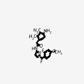 COc1ccc(C(F)n2ccc(NC(=O)Cc3ccc(N)c(C)c3C)n2)c(F)c1